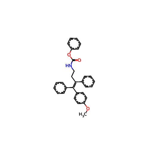 COc1ccc(/C(=C(/CCNC(=O)Oc2ccccc2)c2ccccc2)c2ccccc2)cc1